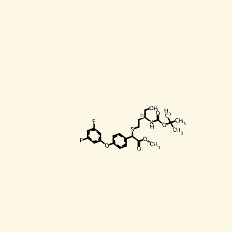 COC(=O)C(SCC[C@@H](CO)NC(=O)OC(C)(C)C)c1ccc(Oc2cc(F)cc(F)c2)cc1